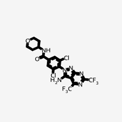 Nc1c2c(C(F)(F)F)nc(C(F)(F)F)nc2nn1-c1c(Cl)cc(C(=O)NC2CCOCC2)cc1Cl